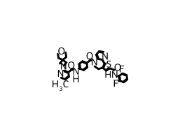 Cc1cnc(N2CC3(CCOCC3)C2)c(C(=O)Nc2ccc(C(=O)N3CCc4cc(C(=O)Nc5c(F)cccc5F)sc4-c4ncccc43)cc2)c1